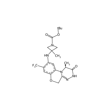 C[C@H]1C(=O)NN=C2COc3cc(C(F)(F)F)c(NC4(C)CN(C(=O)OC(C)(C)C)C4)cc3N21